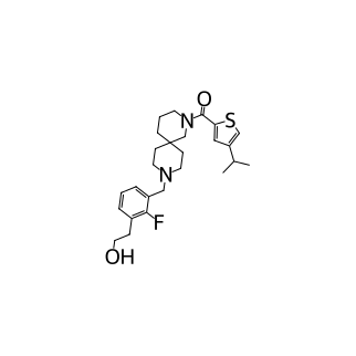 CC(C)c1csc(C(=O)N2CCCC3(CCN(Cc4cccc(CCO)c4F)CC3)C2)c1